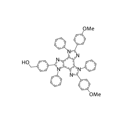 COc1ccc(-c2nc3c(c4nc(-c5ccc(CO)cc5)n(-c5ccccc5)c4c4nc(-c5ccc(OC)cc5)n(-c5ccccc5)c43)n2-c2ccccc2)cc1